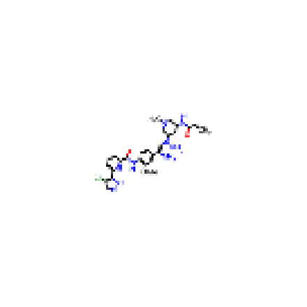 C=CC(=O)NC1CC(N(N)/C=C(\N)c2ccc(NC(=O)c3cccc(-c4[nH]ncc4Cl)n3)c(OC)c2)CN(C)C1